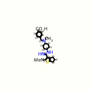 CNc1sc2c(c1C(=N)N[C@H]1CC[C@H](N(C)Cc3ccc(C(=O)O)cc3)CC1)CCC2